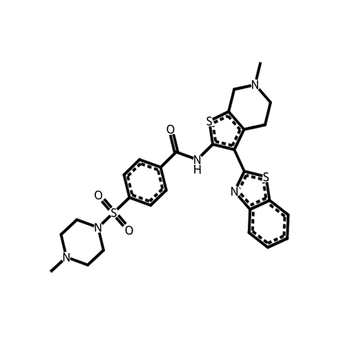 CN1CCN(S(=O)(=O)c2ccc(C(=O)Nc3sc4c(c3-c3nc5ccccc5s3)CCN(C)C4)cc2)CC1